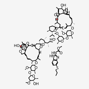 CCCSc1ccc2[nH]c(NC(=O)OC)nc2c1.CC[C@H](C)[C@H]1O[C@]2(CC[C@@H]1C)C[C@@H]1C[C@@H](C/C=C(\C)[C@@H](O[C@H]3C[C@H](OC)[C@@H](O[C@H]4C[C@H](OC)[C@@H](O)[C@H](C)O4)[C@H](C)O3)[C@@H](C)/C=C/C=C3\CO[C@@H]4[C@H](O)C(C)=C[C@@H](C(=O)O1)[C@]34O)O2.CO[C@H]1C[C@H](O[C@H]2[C@H](C)O[C@@H](O[C@@H]3/C(C)=C/C[C@@H]4C[C@@H](C[C@]5(CC[C@H](C)[C@@H](C(C)C)O5)O4)OC(=O)[C@@H]4C=C(C)[C@@H](O)[C@H]5OC/C(=C\C=C\[C@@H]3C)[C@]54O)C[C@@H]2OC)O[C@@H](C)[C@@H]1O